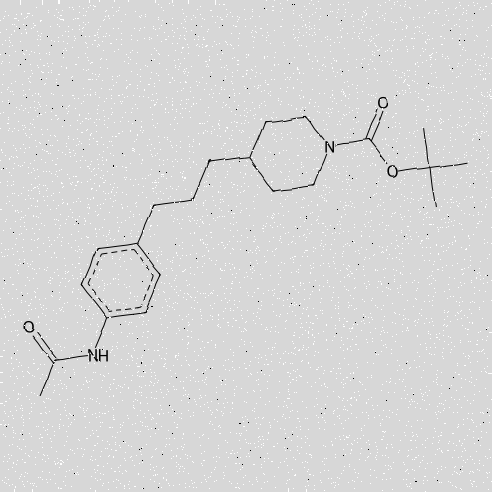 CC(=O)Nc1ccc(CCCC2CCN(C(=O)OC(C)(C)C)CC2)cc1